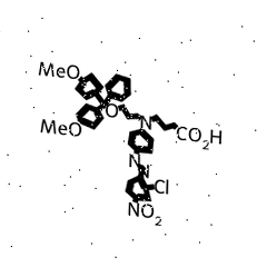 COc1ccc(C(OCCCN(CCCC(=O)O)c2ccc(/N=N/c3ccc([N+](=O)[O-])cc3Cl)cc2)(c2ccccc2)c2ccc(OC)cc2)cc1